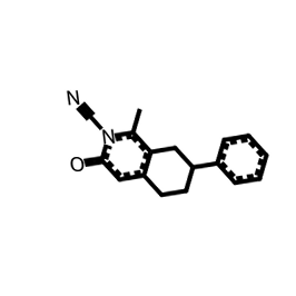 Cc1c2c(cc(=O)n1C#N)CCC(c1ccccc1)C2